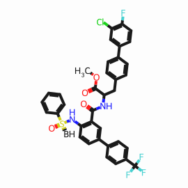 B=S(=O)(Nc1ccc(-c2ccc(C(F)(F)F)cc2)cc1C(=O)NC(Cc1ccc(-c2ccc(F)c(Cl)c2)cc1)C(=O)OC)c1ccccc1